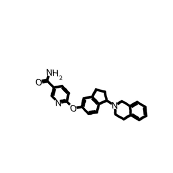 NC(=O)c1ccc(Oc2ccc3c(c2)CCC3N2CCc3ccccc3C2)nc1